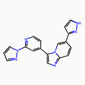 c1cnn(-c2cc(-c3cnc4ccc(-c5cc[nH]n5)cn34)ccn2)c1